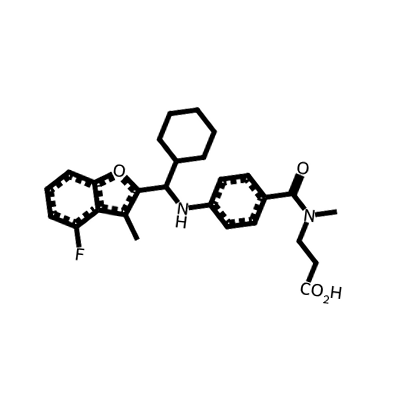 Cc1c(C(Nc2ccc(C(=O)N(C)CCC(=O)O)cc2)C2CCCCC2)oc2cccc(F)c12